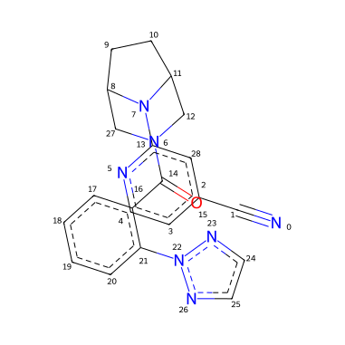 N#Cc1ccnc(N2C3CCC2CN(C(=O)c2ccccc2-n2nccn2)C3)c1